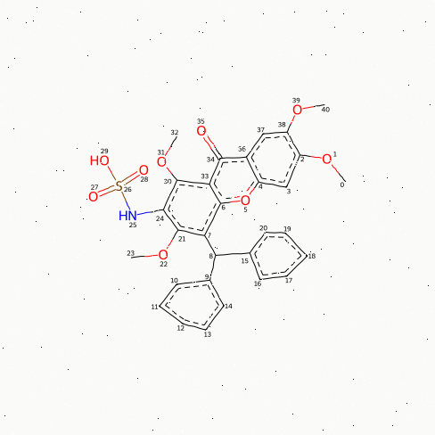 COc1cc2oc3c(C(c4ccccc4)c4ccccc4)c(OC)c(NS(=O)(=O)O)c(OC)c3c(=O)c2cc1OC